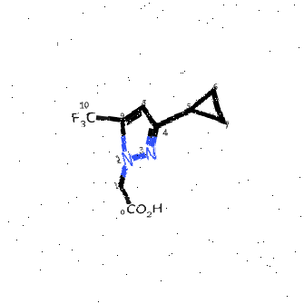 O=C(O)Cn1nc(C2CC2)cc1C(F)(F)F